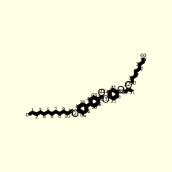 CCCCCCCCCCCCOc1ccc(-c2ccc(C(=O)Oc3ccc(OCC(C)OCCCCCCCC)cc3)cc2)cc1